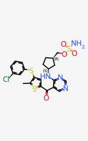 Cc1sc(C(=O)c2cncnc2N[C@H]2CC[C@@H](COS(N)(=O)=O)C2)cc1Sc1cccc(Cl)c1